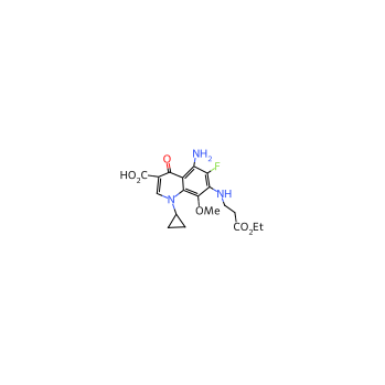 CCOC(=O)CCNc1c(F)c(N)c2c(=O)c(C(=O)O)cn(C3CC3)c2c1OC